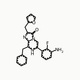 Nc1cccc(-c2cn3c(=O)c(Cc4ccco4)nc-3c(Cc3ccccc3)[nH]2)c1F